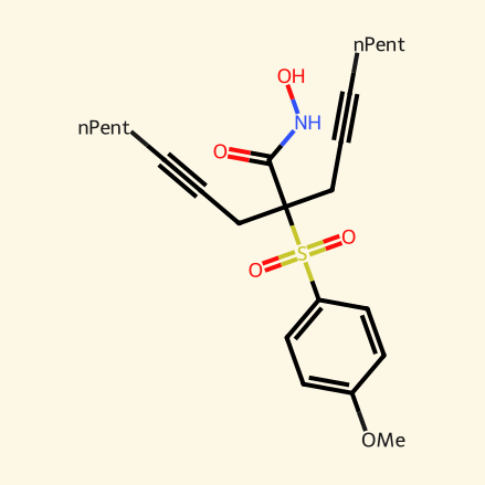 CCCCCC#CCC(CC#CCCCCC)(C(=O)NO)S(=O)(=O)c1ccc(OC)cc1